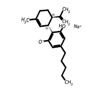 C=C(C)[C@@H]1CCC(C)=C[C@H]1c1c([O-])cc(CCCCC)cc1O.[Na+]